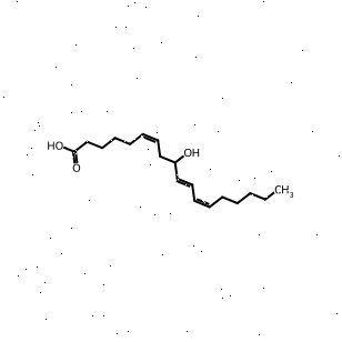 CCCCC/C=C\C=C\C(O)C/C=C\CCCCC(=O)O